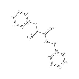 NC(Cc1ccccc1)C(=O)OCc1ccccc1